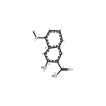 COc1cccc2cc(C(=O)O)c(O)cc12